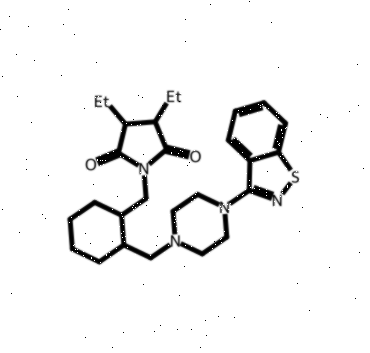 CCC1C(=O)N(CC2CCCCC2CN2CCN(c3nsc4ccccc34)CC2)C(=O)C1CC